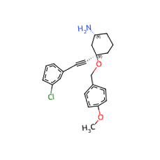 COc1ccc(CO[C@]2(C#Cc3cccc(Cl)c3)CCC[C@@H](N)C2)cc1